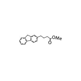 COC(=O)CCCc1ccc2c(c1)Cc1ccccc1-2